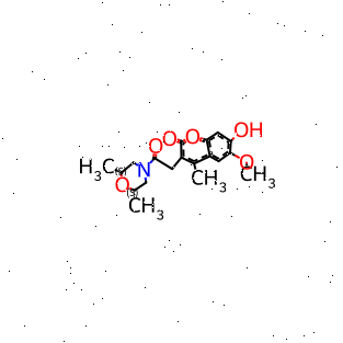 COc1cc2c(C)c(CC(=O)N3C[C@H](C)O[C@@H](C)C3)c(=O)oc2cc1O